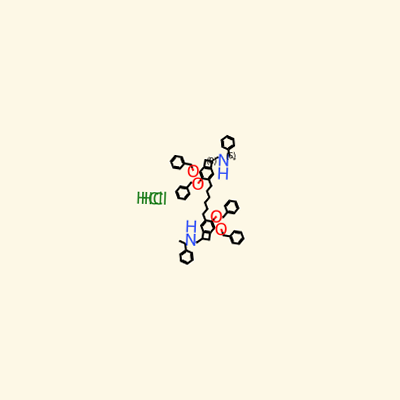 CC(NCC1Cc2c1cc(CCCCCCc1cc3c(c(OCc4ccccc4)c1OCc1ccccc1)C[C@H]3CN[C@@H](C)c1ccccc1)c(OCc1ccccc1)c2OCc1ccccc1)c1ccccc1.Cl.Cl